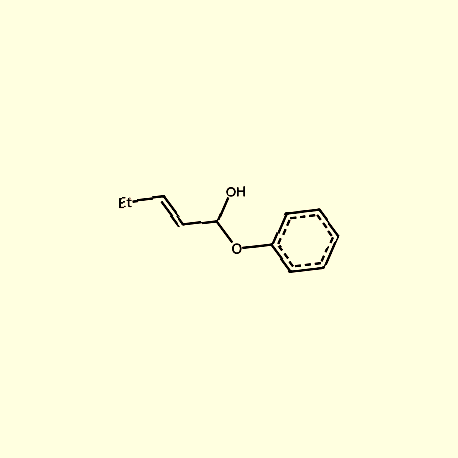 CCC=CC(O)Oc1ccccc1